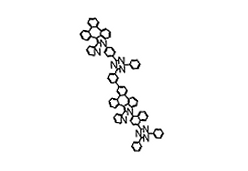 c1ccc(-c2nc(-c3ccc(-n4c(-c5ccccn5)c5c6c(cccc64)-c4ccccc4-c4ccccc4-5)cc3)nc(-c3cccc(-c4ccc5c(c4)-c4ccccc4-c4c(-c6ccccn6)n(-c6ccc(-c7nc(-c8ccccc8)nc(-c8ccccc8)n7)c7ccccc67)c6cccc-5c46)c3)n2)cc1